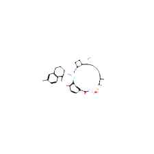 CC1CCC[C@H](CO)C2CCC2CN2C[C@@]3(CCCc4cc(Cl)ccc43)COc3ccc(cc32)C(=O)NS(=O)(=O)C1C